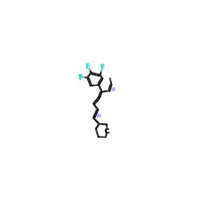 C/C=C\C(=C=C/C=C/C1CCCCC1)c1cc(F)c(F)c(F)c1